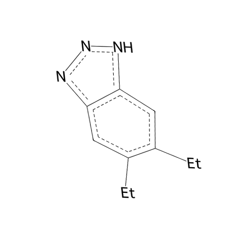 CCc1cc2nn[nH]c2cc1CC